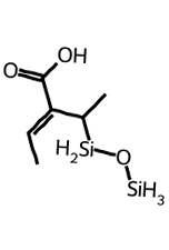 CC=C(C(=O)O)C(C)[SiH2]O[SiH3]